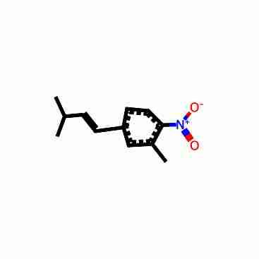 Cc1cc(C=CC(C)C)ccc1[N+](=O)[O-]